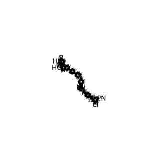 CN1c2cc(N3CCC(C4CCN(CC5CCN(c6nccc(COc7ccc(C(C)(C)c8cc(Cl)cc(C#N)c8)cc7)n6)CC5)CC4)CC3)ccc2N(C2CCC(=O)NC2=O)C1O